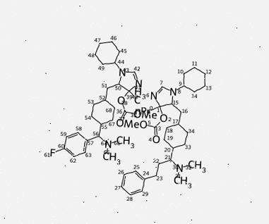 CCCC1(OC(=O)OC)N=CN(C2CCCCC2)C1CC1CCC(C(CCc2ccccc2)N(C)C)CC1.COC(=O)OC1(C)N=CN(C2CCCCC2)C1CC1CCC(C(c2ccc(F)cc2)N(C)C)CC1